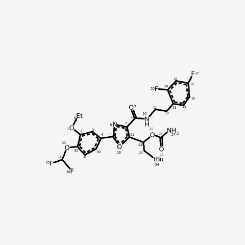 CCOc1cc(-c2nc(C(=O)NCCc3ccc(F)cc3F)c(C(CC(C)(C)C)OC(N)=O)o2)ccc1OC(F)F